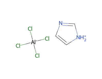 C1=C[NH2+]C=N1.[Cl][Al-]([Cl])([Cl])[Cl]